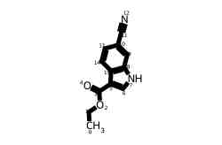 CCOC(=O)c1c[nH]c2cc(C#N)ccc12